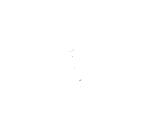 CC(C)C1CC(=O)N(CCOCCOCCOCCOCCC(=O)NCCC(C)(C)C)C1=O